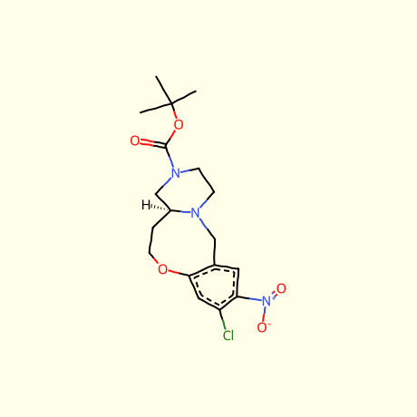 CC(C)(C)OC(=O)N1CCN2Cc3cc([N+](=O)[O-])c(Cl)cc3OCC[C@H]2C1